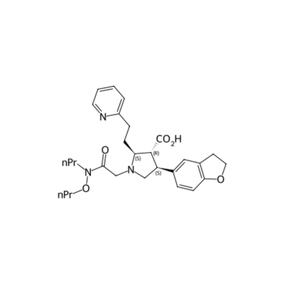 CCCON(CCC)C(=O)CN1C[C@H](c2ccc3c(c2)CCO3)[C@@H](C(=O)O)[C@@H]1CCc1ccccn1